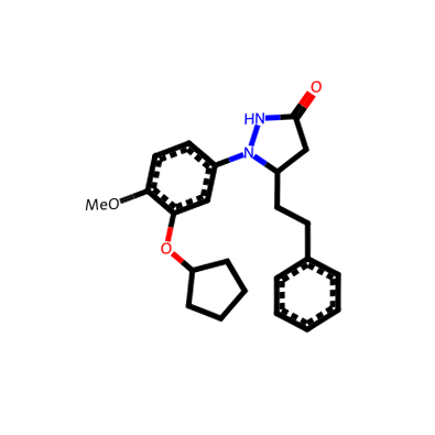 COc1ccc(N2NC(=O)CC2CCc2ccccc2)cc1OC1CCCC1